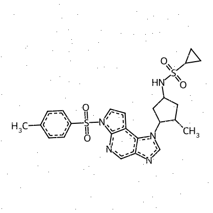 Cc1ccc(S(=O)(=O)n2ccc3c4c(cnc32)ncn4C2CC(NS(=O)(=O)C3CC3)CC2C)cc1